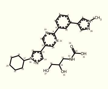 Cn1cc(-c2cccc(-c3ncc(-c4cnn(C5CCCCC5)c4)cn3)c2)cn1.O=C(O)NCC(O)CO